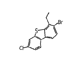 CCc1c(Br)ccc2c1sc1cc(Cl)ccc12